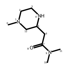 CN1CCNC(CC(=O)N(C)C)C1